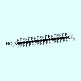 O=S(=O)(O)C(F)(F)C(F)(F)C(F)(F)C(F)(F)C(F)(F)C(F)(F)C(F)(F)C(F)(F)C(F)(F)C(F)(F)C(F)(F)C(F)(F)C(F)(F)C(F)(F)C(F)(F)C(F)(F)C(F)(F)C(F)(F)C(F)(F)F